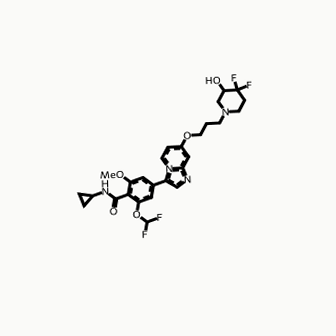 COc1cc(-c2cnc3cc(OCCCN4CCC(F)(F)C(O)C4)ccn23)cc(OC(F)F)c1C(=O)NC1CC1